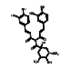 NC1CC(O)(C(=O)N(C(=O)C=Cc2ccc(O)c(O)c2)C(=O)C=Cc2ccc(O)c(O)c2)CC(N)C1O